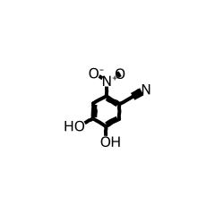 N#Cc1cc(O)c(O)cc1[N+](=O)[O-]